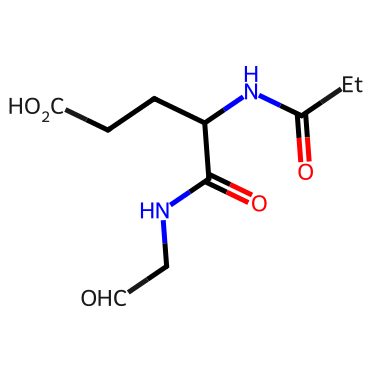 CCC(=O)NC(CCC(=O)O)C(=O)NCC=O